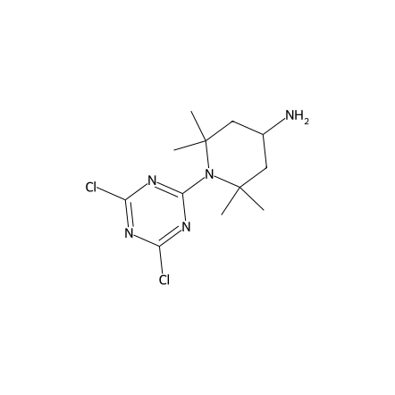 CC1(C)CC(N)CC(C)(C)N1c1nc(Cl)nc(Cl)n1